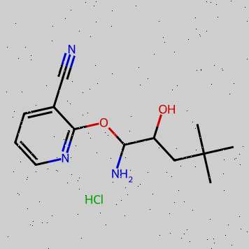 CC(C)(C)CC(O)C(N)Oc1ncccc1C#N.Cl